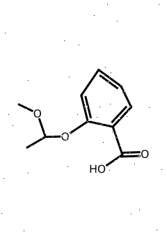 COC(C)Oc1ccccc1C(=O)O